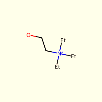 CC[N+](CC)(CC)CC[O]